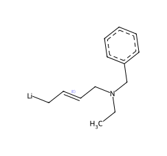 [Li][CH2]/C=C/CN(CC)Cc1ccccc1